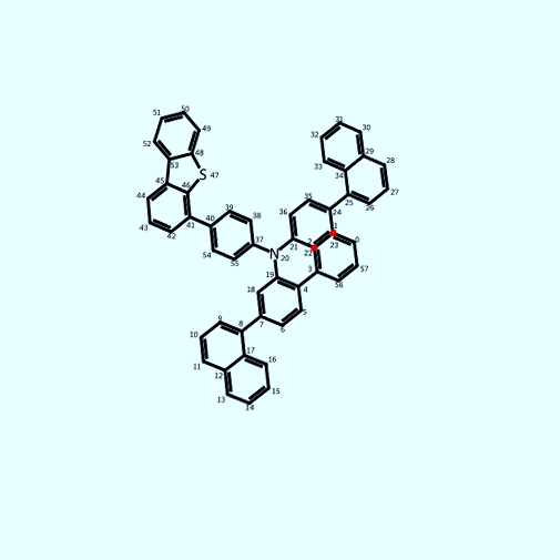 c1ccc(-c2ccc(-c3cccc4ccccc34)cc2N(c2ccc(-c3cccc4ccccc34)cc2)c2ccc(-c3cccc4c3sc3ccccc34)cc2)cc1